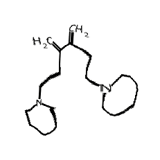 C=C(CCN1CCCCC1)C(=C)CCN1CCCCC1